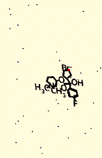 C[N+]1(C)CCC[C@@H](OC(=O)[C@](O)(c2ccc(F)cc2)C2CCCC2)C1.[Br-]